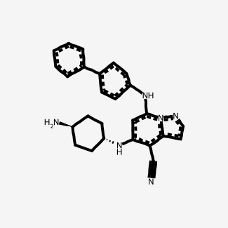 N#Cc1c(N[C@H]2CC[C@H](N)CC2)cc(Nc2ccc(-c3ccccc3)cc2)n2nccc12